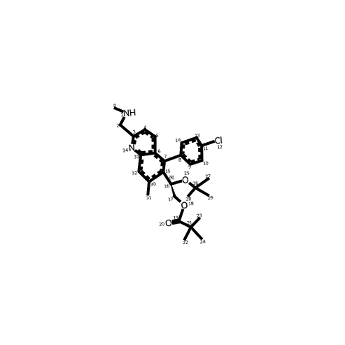 CNCc1ccc2c(-c3ccc(Cl)cc3)c([C@H](COC(=O)C(C)(C)C)OC(C)(C)C)c(C)cc2n1